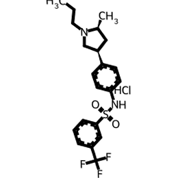 CCCN1C[C@H](c2ccc(NS(=O)(=O)c3cccc(C(F)(F)F)c3)cc2)C[C@@H]1C.Cl